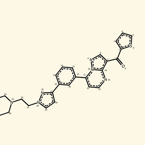 O=C(c1cccs1)c1cnn2c(-c3cccc(-c4ccn(CCN5CCCCC5)n4)c3)ccnc12